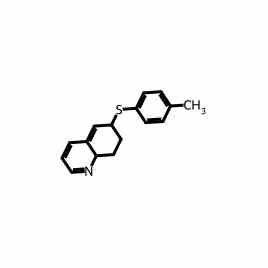 Cc1ccc(SC2C=C3C=CC=NC3CC2)cc1